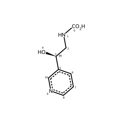 O=C(O)NC[C@H](O)c1cccnc1